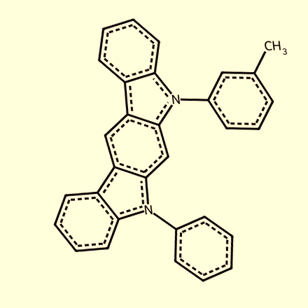 Cc1cccc(-n2c3ccccc3c3cc4c5ccccc5n(-c5ccccc5)c4cc32)c1